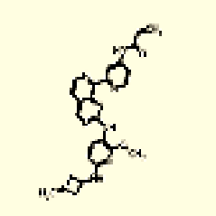 C=CC(=O)Nc1ccnc(-c2nccc3cnc(Nc4ccc(NC5CN(C)C5)nc4OC)nc23)c1